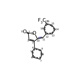 O=C1C=C(c2ccccc2)/C(=C/c2cccc(C(F)(F)F)c2)O1